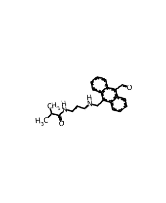 CC(C)C(=O)NCCCNCc1c2ccccc2c(C=O)c2ccccc12